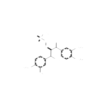 COc1ccc(C(C(=NOS(C)(=O)=O)C(c2ccc(OC)c(OC)c2)C(F)(F)F)C(F)(F)F)cc1OC